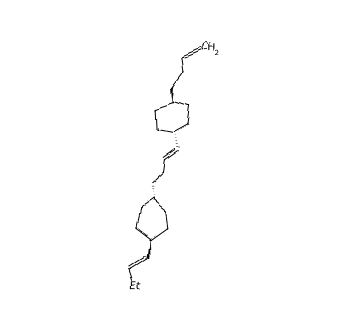 C=CCC[C@H]1CC[C@H](/C=C/CC[C@H]2CC[C@H](/C=C/CC)CC2)CC1